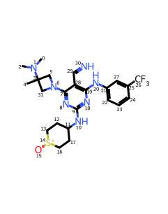 CN(C)C1(C)CN(c2nc(NC3CC[S+]([O-])CC3)nc(Nc3cccc(C(F)(F)F)c3)c2C=N)C1